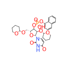 O=c1ccn([C@@H]2O[C@H](COC3CCCCO3)[C@@H](OP(=O)(O)Oc3cccc4ccccc34)[C@H]2OC2CCCCO2)c(=O)[nH]1